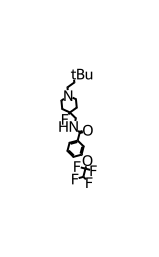 CC(C)(C)CCN1CCC(F)(CNC(=O)c2cccc(OC(F)(F)C(F)F)c2)CC1